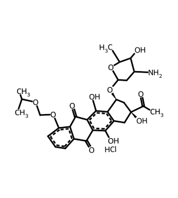 CC(=O)[C@]1(O)Cc2c(O)c3c(c(O)c2[C@@H](OC2CC(N)C(O)C(C)O2)C1)C(=O)c1c(OCOC(C)C)cccc1C3=O.Cl